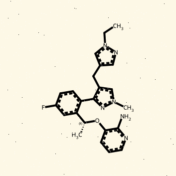 CCn1cc(Cc2cn(C)nc2-c2ccc(F)cc2[C@@H](C)Oc2cccnc2N)cn1